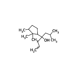 C=CCC(O)(CC(C)C)C1CCC(C)C1(C)C